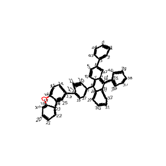 c1ccc(-c2ccc3c(-c4ccc(-c5ccc6oc7ccccc7c6c5)cc4)c4ccccc4c(-c4ccccc4)c3c2)cc1